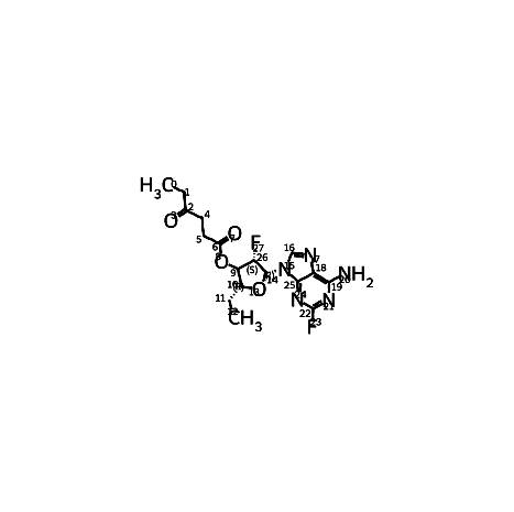 CCC(=O)CCC(=O)OC1[C@@H](CC)O[C@@H](n2cnc3c(N)nc(F)nc32)[C@H]1F